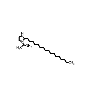 CCCCCCCCCCCCCCCCCC1NCCN1C(C)N